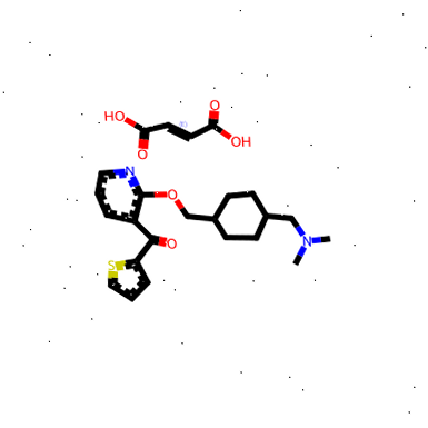 CN(C)CC1CCC(COc2ncccc2C(=O)c2cccs2)CC1.O=C(O)/C=C/C(=O)O